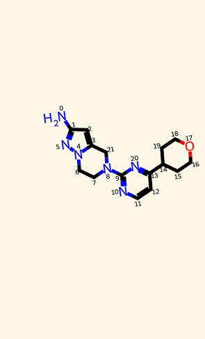 Nc1cc2n(n1)CCN(c1nccc(C3CCOCC3)n1)C2